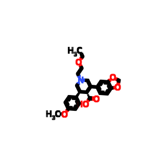 CCOCCN1CC(c2ccc3c(c2)OCO3)[C@H](C(=O)O)[C@@H](c2ccc(OC)cc2)C1